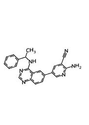 CC(Nc1ncnc2ccc(-c3cnc(N)c(C#N)c3)cc12)c1ccccc1